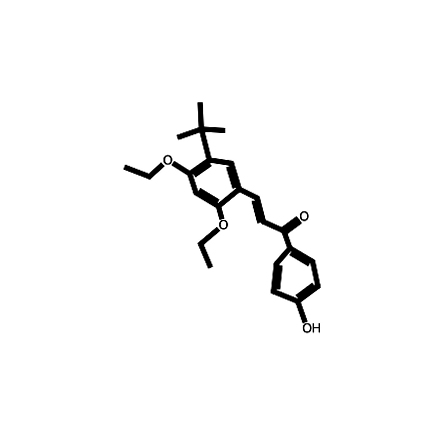 CCOc1cc(OCC)c(C(C)(C)C)cc1/C=C/C(=O)c1ccc(O)cc1